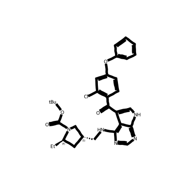 CC[C@@H]1C[C@@H](CNc2ncnc3[nH]cc(C(=O)c4ccc(Oc5ccccc5)cc4Cl)c23)CN1C(=O)OC(C)(C)C